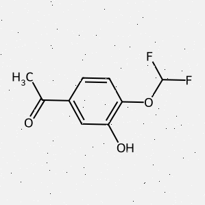 CC(=O)c1ccc(OC(F)F)c(O)c1